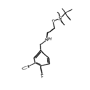 CC(C)(C)[Si](C)(C)OCCNCc1ccc(F)c(Cl)c1